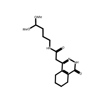 COC(CCCNC(=O)Cc1n[nH]c(=O)c2c1CCCC2)OC